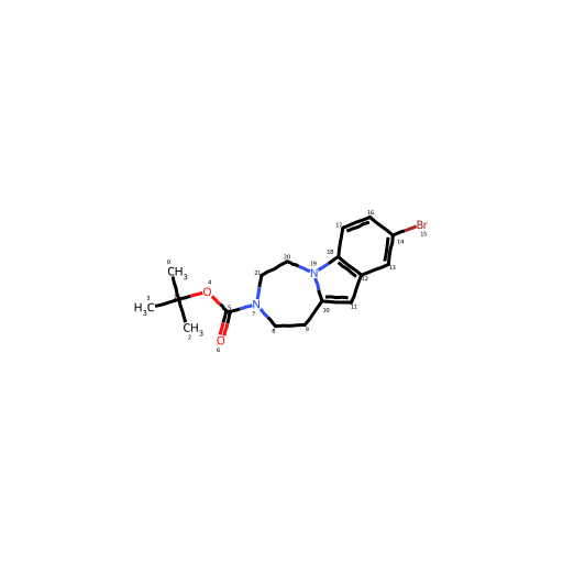 CC(C)(C)OC(=O)N1CCc2cc3cc(Br)ccc3n2CC1